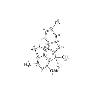 COc1cc(C)c2[nH]ccc2c1C(C)(O)c1nc2ccc(C#N)cc2s1